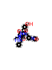 C=CCN1CC(=O)N2[C@@H](Cc3ccc(O)cc3)C(=O)N(Cc3cccc(N4CCOCC4)c3)C[C@@H]2N1C(=O)NCc1ccccc1